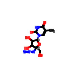 Cc1cn([C@@H]2O[C@@](CO)(N=[N+]=[N-])C(O)C2O)c(=O)[nH]c1=O